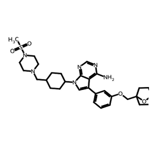 CS(=O)(=O)N1CCN(CC2CCC(n3cc(-c4cccc(OCC56CCC(CC5)O6)c4)c4c(N)ncnc43)CC2)CC1